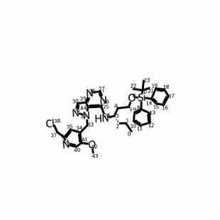 CCC[C@@H](CCO[Si](c1ccccc1)(c1ccccc1)C(C)(C)C)Nc1n[c]nc2cnn(Cc3cc(CCl)ncc3OC)c12